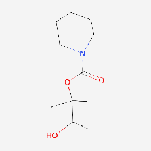 CC(O)C(C)(C)OC(=O)N1CCCCC1